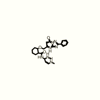 CN/C=C\C(NC)NC(=O)C1CCCCC1OCc1cc(=O)n2nc(-c3ccccc3)nc2[nH]1